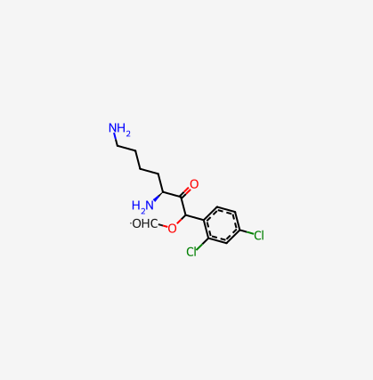 NCCCC[C@H](N)C(=O)C(O[C]=O)c1ccc(Cl)cc1Cl